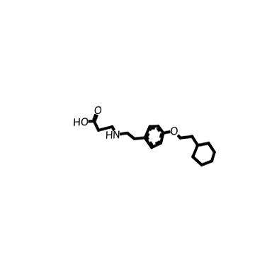 O=C(O)CCNCCc1ccc(OCCC2CCCCC2)cc1